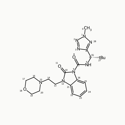 Cn1nnc([C@@H](NC(=O)n2c(=O)n(CCN3CCOCC3)c3ccccc32)C(C)(C)C)n1